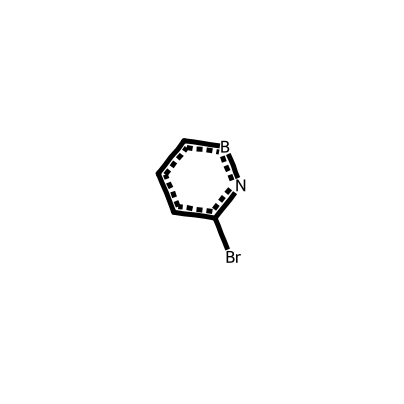 Brc1cccbn1